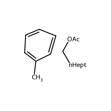 CCCCCCCCOC(C)=O.Cc1ccccc1